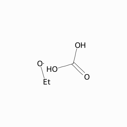 CC[O].O=C(O)O